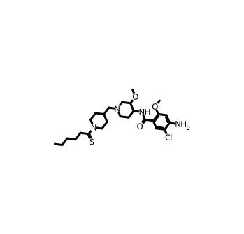 CCCCCC(=S)N1CCC(CN2CCC(NC(=O)c3cc(Cl)c(N)cc3OC)C(OC)C2)CC1